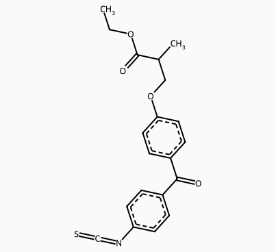 CCOC(=O)C(C)COc1ccc(C(=O)c2ccc(N=C=S)cc2)cc1